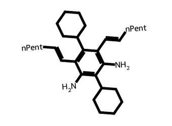 CCCCCC=Cc1c(N)c(C2CCCCC2)c(N)c(C=CCCCCC)c1C1CCCCC1